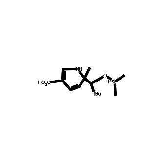 C[SiH](C)OC(C(C)(C)C)C1(C)C=CC(C(=O)O)=CN1